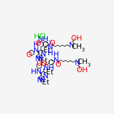 CCc1nc2c(cnn2CC)c(NC2CCOCC2)c1CNC(=O)c1ccc(NC(=O)CCCCCCCN(C)CCO)cc1.CCc1nc2c(cnn2CC)c(NC2CCOCC2)c1Cc1cc(NC(=O)CCCCCCCN(C)CCO)ccc1C(N)=O.Cl